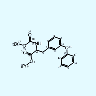 CC(C)OC(=O)C(Cc1cccc(Oc2ccccc2)c1)NC(=O)OC(C)(C)C